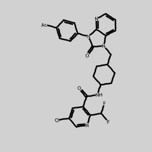 CC(=O)c1ccc(-n2c(=O)n(CC3CCC(NC(=O)c4cc(Cl)cnc4C(F)F)CC3)c3cccnc32)cc1